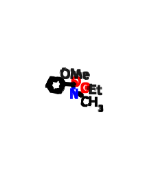 CCOC(C)=NC(=O)c1ccccc1OC